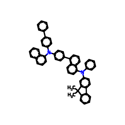 CC1(C)c2ccccc2-c2ccc(N(c3ccccc3)c3cccc4c(-c5ccc(N(c6ccc(-c7ccccc7)cc6)c6cccc7ccccc67)cc5)cccc34)cc21